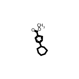 COC(=O)c1ccc(C2CCCCCC2)cc1